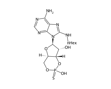 CCCCCCNc1nc2c(N)ncnc2n1[C@@H]1O[C@@H]2COP(O)(=S)O[C@H]2[C@H]1O